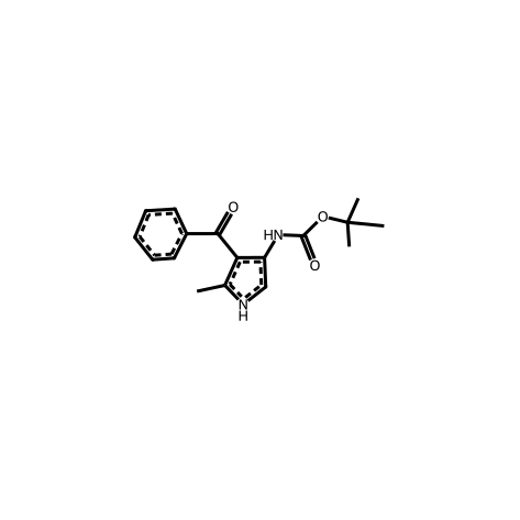 Cc1[nH]cc(NC(=O)OC(C)(C)C)c1C(=O)c1ccccc1